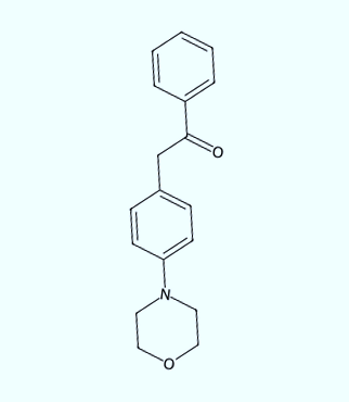 O=C(Cc1ccc(N2CCOCC2)cc1)c1ccccc1